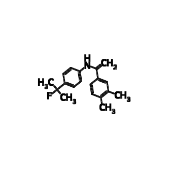 C=C(Nc1ccc(C(C)(C)F)cc1)c1ccc(C)c(C)c1